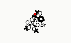 CC(C)(C)OC(=O)N(C(=O)OC(C)(C)C)C1=NC2(CO1)c1cc(Br)ccc1OC(C)(C)C21COC1